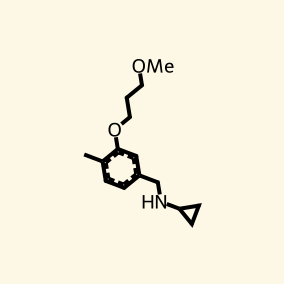 COCCCOc1cc(CNC2CC2)ccc1C